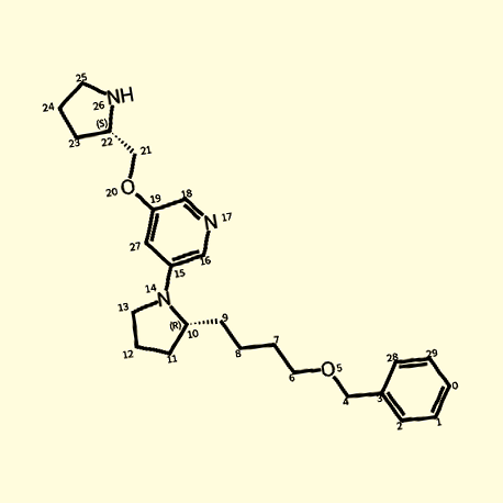 c1ccc(COCCCC[C@@H]2CCCN2c2cncc(OC[C@@H]3CCCN3)c2)cc1